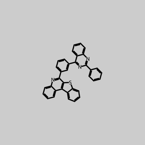 c1ccc(-c2nc(-c3cccc(-c4nc5ccccc5c5c4sc4ccccc45)c3)c3ccccc3n2)cc1